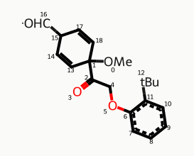 COC1(C(=O)COc2ccccc2C(C)(C)C)C=CC([C]=O)C=C1